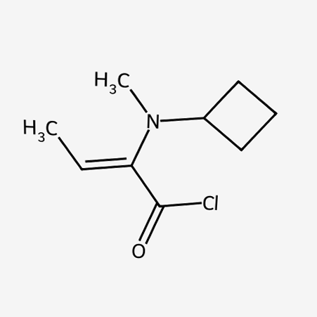 C/C=C(/C(=O)Cl)N(C)C1CCC1